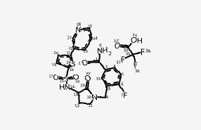 NC(=O)c1ccc(F)c(CN2CCC(NS(=O)(=O)c3ccc(-c4cccnc4)s3)C2=O)c1.O=C(O)C(F)(F)F